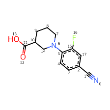 N#Cc1ccc(N2CCCC(C(=O)O)C2)c(F)c1